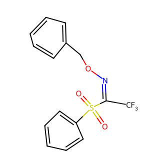 O=S(=O)(C(=NOCc1ccccc1)C(F)(F)F)c1ccccc1